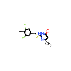 Cc1c(F)cc(CSc2nc(C(F)(F)F)cc(=O)[nH]2)cc1F